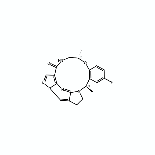 C[C@@H]1c2cc(F)ccc2O[C@@H](C)CNC(=O)c2cnn3cc4c(nc23)N1CC4